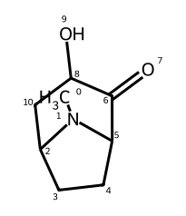 CN1C2CCC1C(=O)C(O)C2